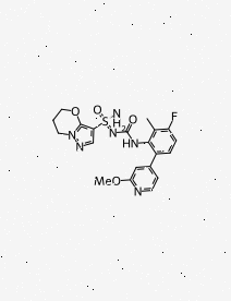 COc1cc(-c2ccc(F)c(C)c2NC(=O)N=[S@](N)(=O)c2cnn3c2OCCC3)ccn1